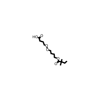 CCC(C)(C)C(=O)OCCCCOOCCCC(=O)O